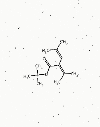 CC(C)=CC(C(=O)OC(C)(C)C)=C(C)C